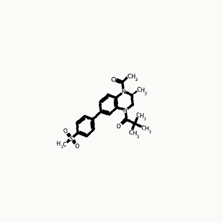 CC(=O)N1c2ccc(-c3ccc(S(C)(=O)=O)cc3)cc2N(C(=O)C(C)(C)C)C[C@@H]1C